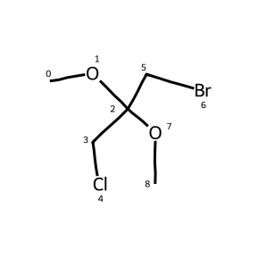 COC(CCl)(CBr)OC